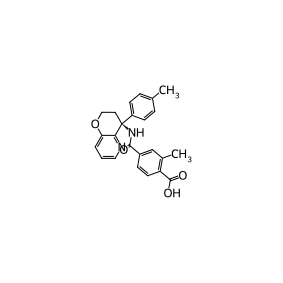 Cc1ccc([C@@]2(NC(=O)c3ccc(C(=O)O)c(C)c3)CCOc3cccnc32)cc1